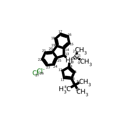 C[Si](C)=[Hf+2]([C]1=CC(C(C)(C)C)=CC1)[CH]1c2ccccc2-c2ccccc21.[Cl-].[Cl-]